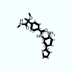 CNC(=O)C(C)(OC)c1ccc(C(=O)Nc2cc(-c3cccs3)ccc2N)cc1